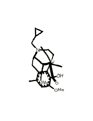 COc1cc(C)c2c(c1O)[C@@]13CCN(CC4CC4)C(C2)C1CC(OC)C(=O)C3C